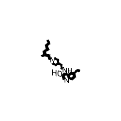 CCCCC/C(C)=C/CN1CCC(CCNc2c(O)cnc3ccc(CC)cc23)CC1